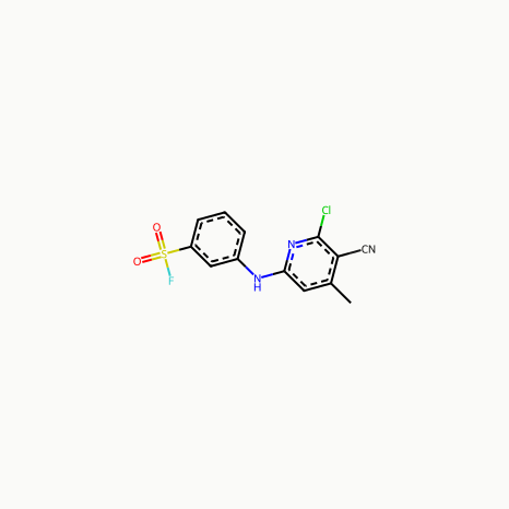 Cc1cc(Nc2cccc(S(=O)(=O)F)c2)nc(Cl)c1C#N